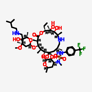 CC[C@H]1OC(=O)[C@H](C)[C@@H](O[C@H]2C[C@@](C)(OC)[C@](O)(CNCCC(C)C)[C@H](C)O2)[C@H](C)[C@@H](O[C@@H]2O[C@H](C)C[C@H](N(C)S(=O)(=O)Nc3ccc(C(F)(F)F)cc3)[C@H]2O)[C@](C)(O)C[C@@H](C)CN[C@H](C)[C@@H](O)[C@]1(C)O